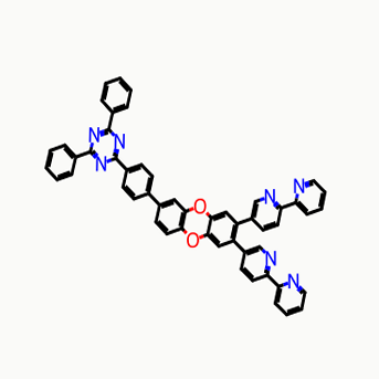 c1ccc(-c2nc(-c3ccccc3)nc(-c3ccc(-c4ccc5c(c4)Oc4cc(-c6ccc(-c7ccccn7)nc6)c(-c6ccc(-c7ccccn7)nc6)cc4O5)cc3)n2)cc1